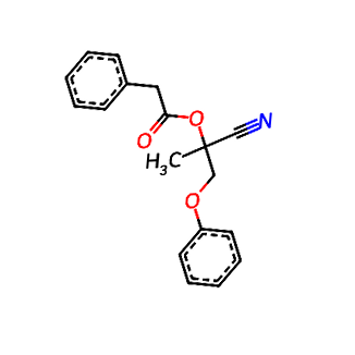 CC(C#N)(COc1ccccc1)OC(=O)Cc1ccccc1